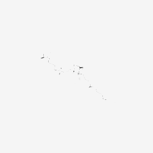 CCCCOC(=O)OCC[C@](O)(C(=O)O)C(C)(C)COS(=O)(=O)CCCNC(C)=O